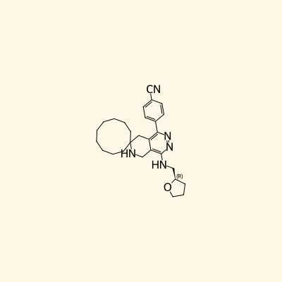 N#Cc1ccc(-c2nnc(NC[C@H]3CCCO3)c3c2CC2(CCCCCCCCC2)NC3)cc1